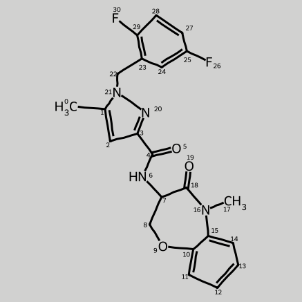 Cc1cc(C(=O)NC2COc3ccccc3N(C)C2=O)nn1Cc1cc(F)ccc1F